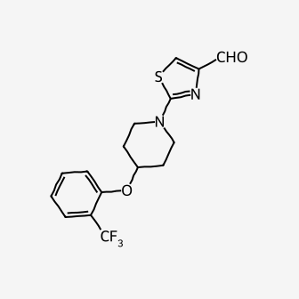 O=Cc1csc(N2CCC(Oc3ccccc3C(F)(F)F)CC2)n1